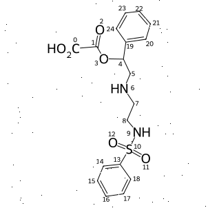 O=C(O)C(=O)OC(CNCCNS(=O)(=O)c1ccccc1)c1ccccc1